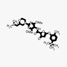 COc1nc(N2CCOC(CN(C)C)C2)nc(OC)c1NC(=O)C1OC(Oc2cc([Si](C)(C)C)ccc2C)=CC1=O